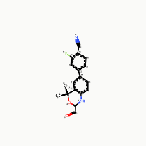 CC1(C)OC(C=O)Nc2ccc(-c3ccc(C#N)c(F)c3)cc21